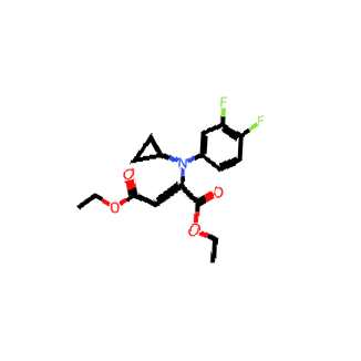 CCOC(=O)/C=C(/C(=O)OCC)N(c1ccc(F)c(F)c1)C1CC1